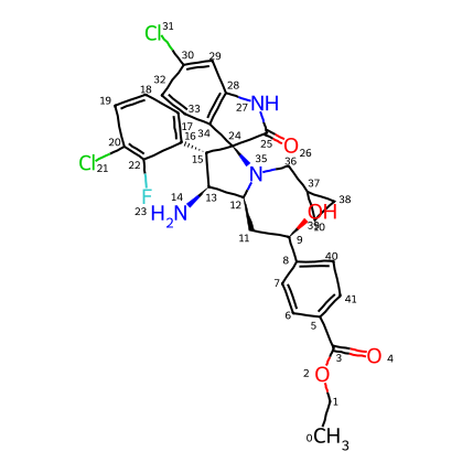 CCOC(=O)c1ccc([C@H](O)C[C@H]2[C@@H](N)[C@H](c3cccc(Cl)c3F)[C@]3(C(=O)Nc4cc(Cl)ccc43)N2CC2CC2)cc1